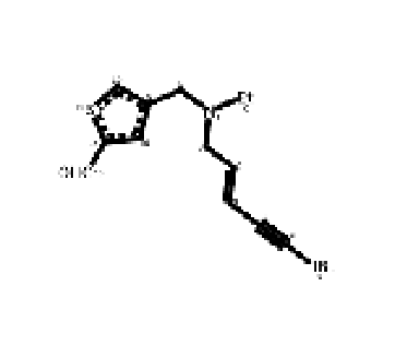 CCN(CC=CC#CC(C)(C)C)Cc1csc(C=O)c1